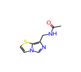 CC(=O)NCc1ncn2ccsc12